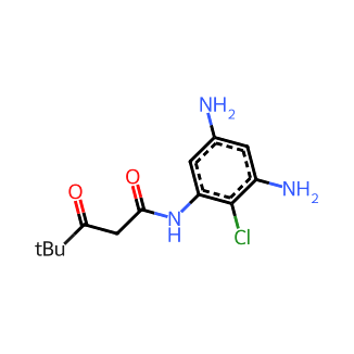 CC(C)(C)C(=O)CC(=O)Nc1cc(N)cc(N)c1Cl